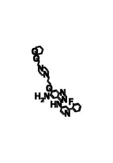 Nc1cc2c(Nc3ccnc(-c4ccccc4F)c3)ncnc2cc1OCCCN1CCN(CCOC2CCCCO2)CC1